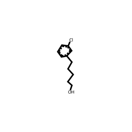 OCCCCCc1cccc(Cl)c1